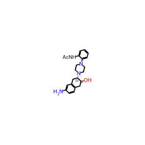 CC(=O)Nc1ccccc1N1CCN([C@H]2Cc3cc(N)ccc3C[C@@H]2O)CC1